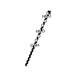 CCCCCCCCCCCCCC(=O)NCCOCCOCCNC(=O)CCOCCOCCNC(=O)OC(C)(C)C